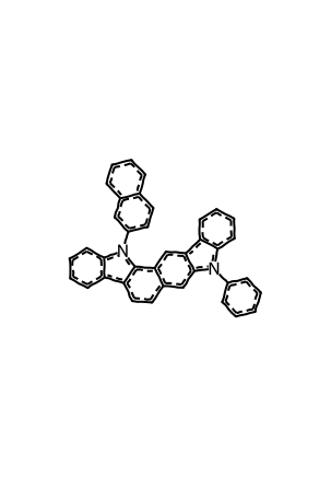 c1ccc(-n2c3ccccc3c3cc4c(ccc5c6ccccc6n(-c6ccc7ccccc7c6)c45)cc32)cc1